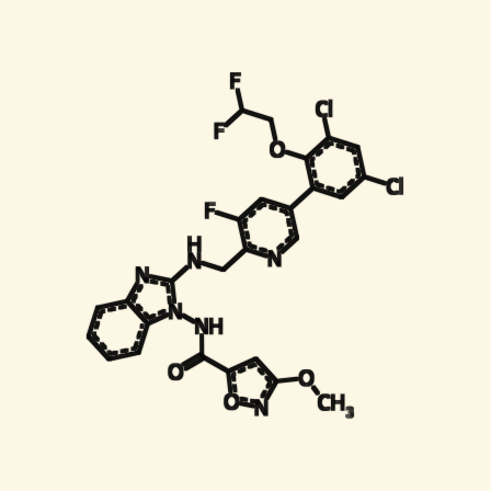 COc1cc(C(=O)Nn2c(NCc3ncc(-c4cc(Cl)cc(Cl)c4OCC(F)F)cc3F)nc3ccccc32)on1